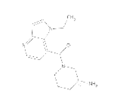 CCn1ccc2nccc(C([O])N3CCC[C@@H](N)C3)c21